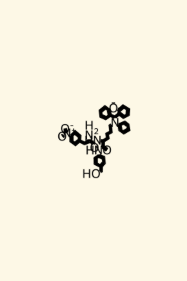 COc1ccccc1C(c1ccccc1)N(CCCCC(NC(=O)C(N)Cc1ccc([N+](=O)[O-])cc1)C(=O)Nc1ccc(CO)cc1)c1ccccc1